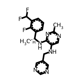 Cc1ncc(NCc2cncnc2)c(N[C@H](C)c2cccc(C(F)F)c2F)n1